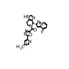 Cn1cnc(-c2nnc(C(=O)N3CCc4[nH]cnc4[C@@H]3c3cc4c(F)cccn4n3)o2)c1